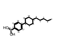 CCCCCC1CCC(c2ccc(B(O)O)cc2)CC1